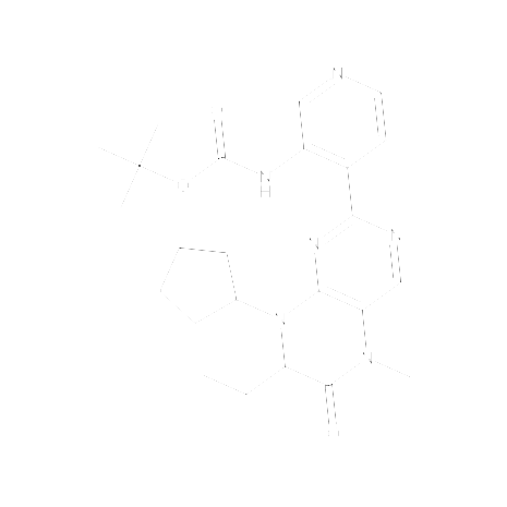 CCC1C(=O)N(C)c2cnc(-c3ccncc3NC(=O)OC(C)(C)C)nc2N1C1CCCC1